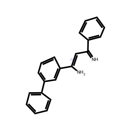 N=C(/C=C(\N)c1cccc(-c2ccccc2)c1)c1ccccc1